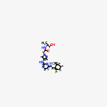 CC(CO)NC(=O)Cn1cc(Nc2nccc(NCc3c(F)cccc3Cl)n2)cn1